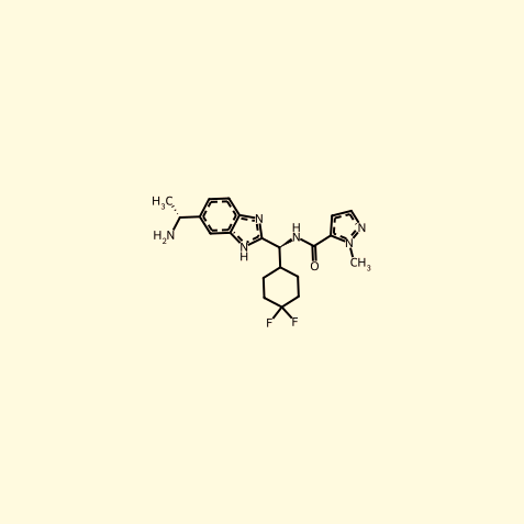 C[C@@H](N)c1ccc2nc([C@@H](NC(=O)c3ccnn3C)C3CCC(F)(F)CC3)[nH]c2c1